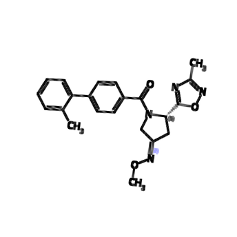 CO/N=C1/C[C@@H](c2nc(C)no2)N(C(=O)c2ccc(-c3ccccc3C)cc2)C1